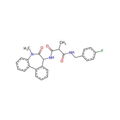 CC(C(=O)NCc1ccc(F)cc1)C(=O)NC1C(=O)N(C)c2ccccc2-c2ccccc21